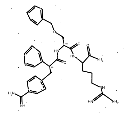 N=C(N)NCCCC(NC(=O)[C@H](COCc1ccccc1)NC(=O)[C@@H](Cc1ccc(C(=N)N)cc1)c1cccnc1)C(N)=O